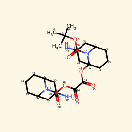 CC(C)(C)OC(=O)N1C2CCCC1(OC(=O)C(=O)OC(=O)N1C3CCCC1CC(N)C3)CC(N)C2